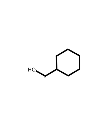 O[C]C1CCCCC1